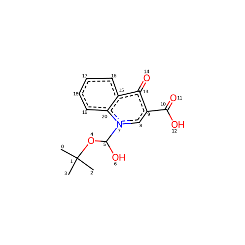 CC(C)(C)OC(O)n1cc(C(=O)O)c(=O)c2ccccc21